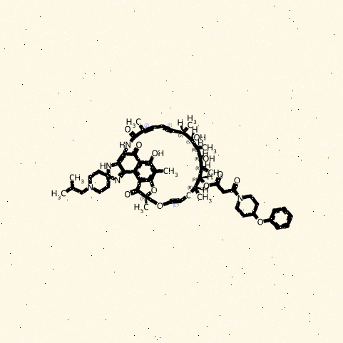 C/C1=C/C=C/[C@H](C)[C@H](O)[C@@H](C)[C@@H](O)[C@@H](C)[C@H](OC(=O)CC(=O)N2CCC(Oc3ccccc3)CC2)[C@H](C)C/C=C/O[C@@]2(C)Oc3c(C)c(O)c4c(c3C2=O)C2=NC3(CCN(CC(C)C)CC3)NC2=C(NC1=O)C4=O